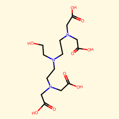 O=C(O)CN(CCN(CCO)CCN(CC(=O)O)CC(=O)O)CC(=O)O